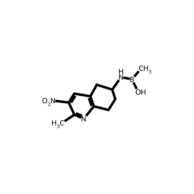 CB(O)NC1CCc2nc(C)c([N+](=O)[O-])cc2C1